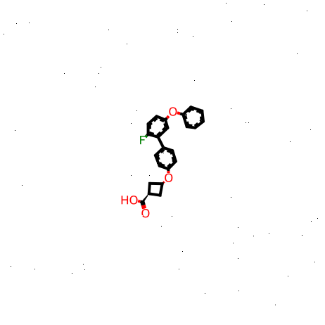 O=C(O)[C@H]1C[C@@H](Oc2ccc(-c3cc(Oc4ccccc4)ccc3F)cc2)C1